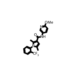 COc1ccc(NC(=O)c2cc(C)n(-c3ccccc3C(F)(F)F)c2C)cn1